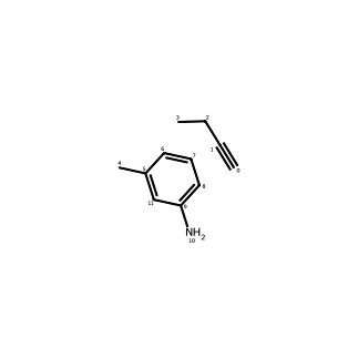 C#CCC.Cc1cccc(N)c1